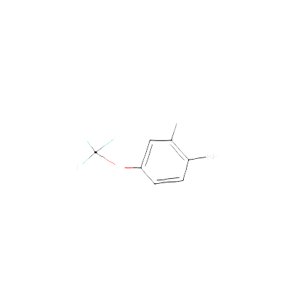 Bc1ccc(OC(F)(F)F)cc1Br